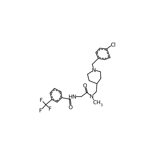 CN(CC1CCN(Cc2ccc(Cl)cc2)CC1)C(=O)CNC(=O)c1cccc(C(F)(F)F)c1